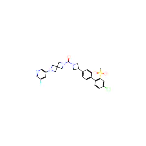 CS(=O)(=O)c1cc(Cl)ccc1-c1ccc(C2CN(C(=O)N3CC4(C3)CN(c3cncc(F)c3)C4)C2)cc1